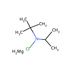 CC(C)N(Cl)C(C)(C)C.[MgH2]